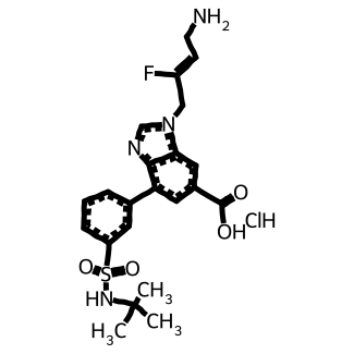 CC(C)(C)NS(=O)(=O)c1cccc(-c2cc(C(=O)O)cc3c2ncn3C/C(F)=C/CN)c1.Cl